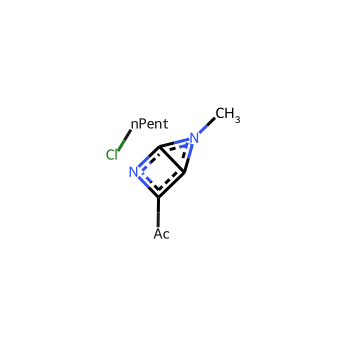 CC(=O)c1nc2n(C)c1-2.CCCCCCl